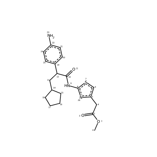 COC(=O)Cc1csc(NC(=O)C(CC2CCCC2)c2ccc(N)cc2)n1